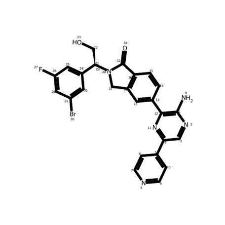 Nc1ncc(-c2ccncc2)nc1-c1ccc2c(c1)CN([C@H](CO)c1cc(F)cc(Br)c1)C2=O